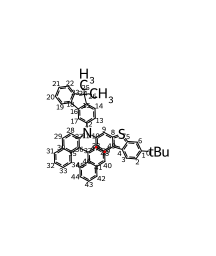 CC(C)(C)c1ccc2c(c1)sc1cc(N(c3ccc4c(c3)-c3ccccc3C4(C)C)c3ccc4ccccc4c3-c3cccc4ccccc34)ccc12